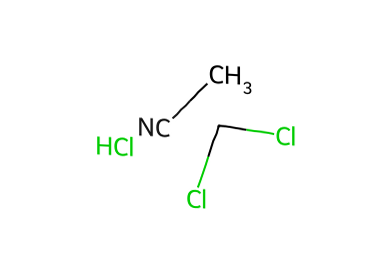 CC#N.Cl.ClCCl